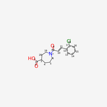 O=C(O)C1CCCN(C(=O)C=Cc2ccccc2Cl)CC1